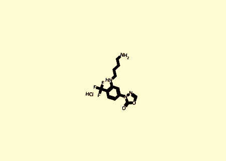 Cl.NCCCCNc1cc(-n2ncoc2=O)ccc1C(F)(F)F